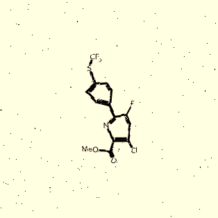 COC(=O)c1nc(-c2ccc(SC(F)(F)F)cc2)c(F)cc1Cl